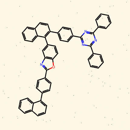 c1ccc(-c2nc(-c3ccccc3)nc(-c3ccc(-c4ccc5ccccc5c4-c4ccc5oc(-c6ccc(-c7cccc8ccccc78)cc6)nc5c4)cc3)n2)cc1